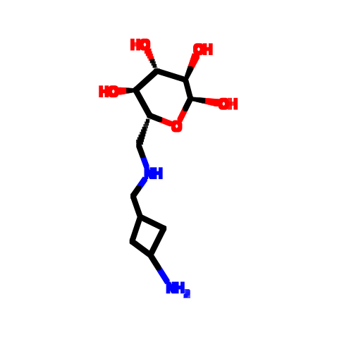 NC1CC(CNC[C@H]2O[C@H](O)[C@H](O)[C@@H](O)[C@@H]2O)C1